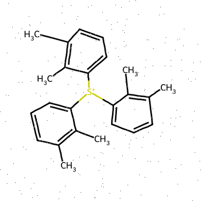 Cc1cccc([S+](c2cccc(C)c2C)c2cccc(C)c2C)c1C